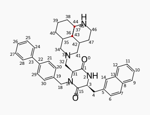 O=C1N[C@@H](Cc2ccc3ccccc3c2)C(=O)N(Cc2ccc(-c3ccccc3)cc2)[C@H]1CN(CC1CCCCC1)CC1CCNCC1